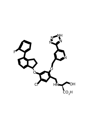 O=C(O)[C@H](CO)NCc1cc(Cl)c(O[C@H]2CCc3c(-c4ccccc4F)cccc32)cc1OCc1cncc(-c2nn[nH]n2)c1